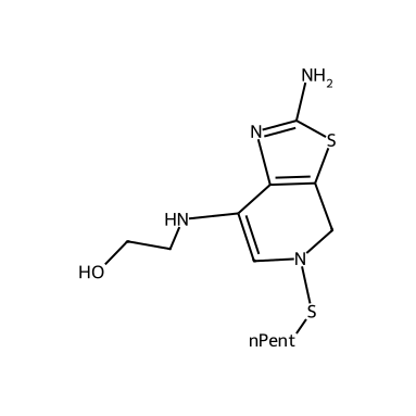 CCCCCSN1C=C(NCCO)c2nc(N)sc2C1